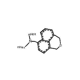 CCCCCCN(CCCCCC)c1ccc2c3c(cccc13)COC2